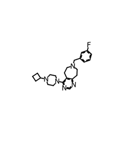 Fc1cccc(CN2CCc3ncnc(N4CCN(C5CCC5)CC4)c3CC2)c1